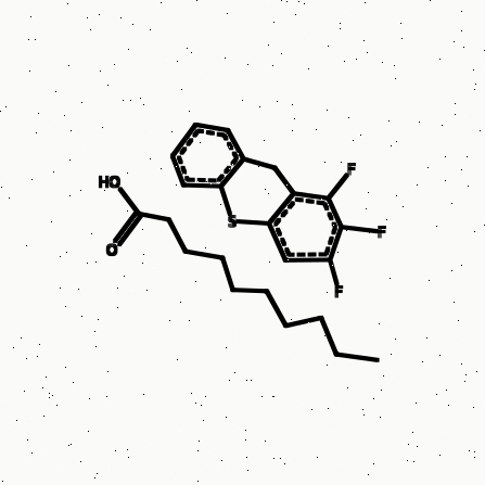 CCCCCCCCCC(=O)O.Fc1cc2c(c(F)c1F)Cc1ccccc1S2